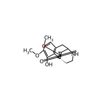 COc1ccc2c(c1O)[C@@]13CCNC(C2)C1CC(OC)C(=O)C3